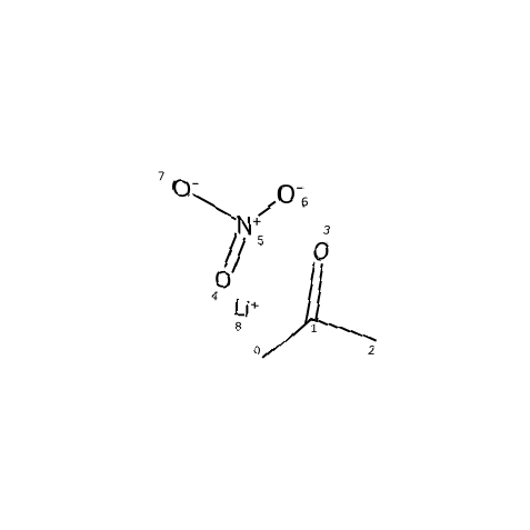 CC(C)=O.O=[N+]([O-])[O-].[Li+]